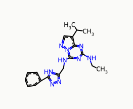 CCNc1nc(NCc2nnc(-c3ccccc3)[nH]2)n2ncc(C(C)C)c2n1